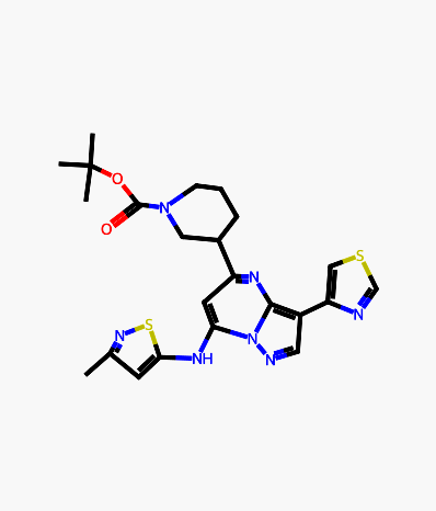 Cc1cc(Nc2cc(C3CCCN(C(=O)OC(C)(C)C)C3)nc3c(-c4cscn4)cnn23)sn1